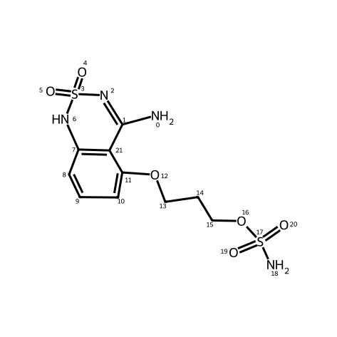 NC1=NS(=O)(=O)Nc2cccc(OCCCOS(N)(=O)=O)c21